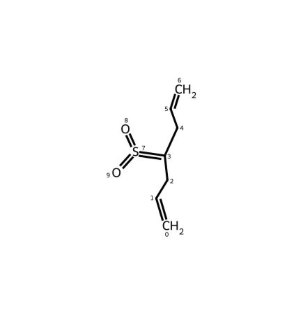 C=CCC(CC=C)=S(=O)=O